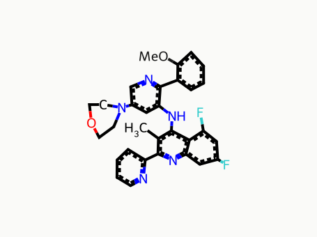 COc1ccccc1-c1ncc(N2CCOCC2)cc1Nc1c(C)c(-c2ccccn2)nc2cc(F)cc(F)c12